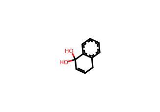 OC1(O)C=CCc2ccccc21